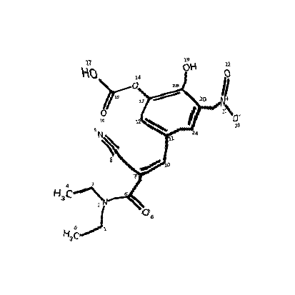 CCN(CC)C(=O)/C(C#N)=C/c1cc(OC(=O)O)c(O)c([N+](=O)[O-])c1